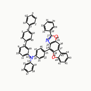 c1ccc(-c2ccc(-c3cccc(N(c4ccccc4)c4ccc(-c5c6nc(-c7ccccc7)oc6cc6c5oc5ccccc56)cc4)c3)cc2)cc1